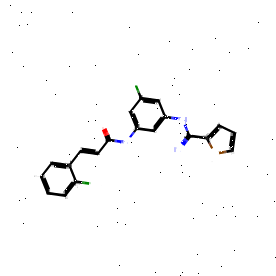 N=C(Nc1cc(Cl)cc(NC(=O)/C=C/c2ccccc2Cl)c1)c1cccs1